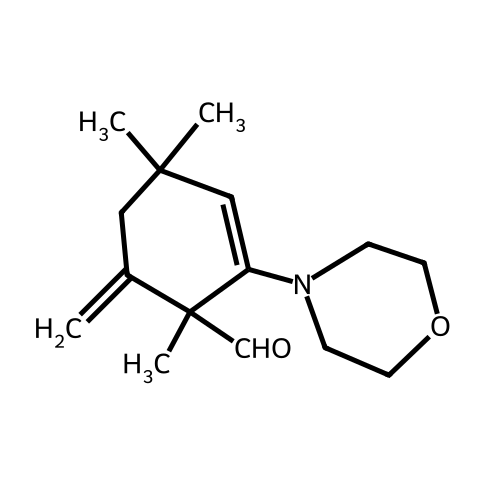 C=C1CC(C)(C)C=C(N2CCOCC2)C1(C)C=O